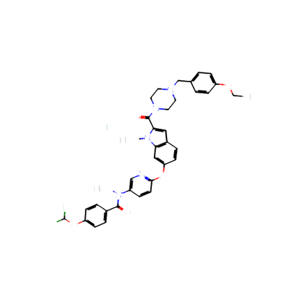 Br.CN(C(=O)c1ccc(OC(F)F)cc1)c1ccc(Oc2ccc3cc(C(=O)N4CCN(Cc5ccc(OCC(F)(F)F)cc5)CC4)n(C)c3c2)nc1